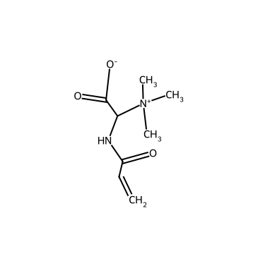 C=CC(=O)NC(C(=O)[O-])[N+](C)(C)C